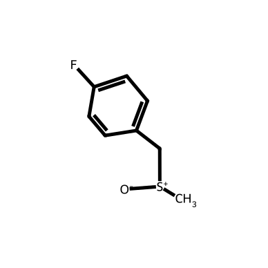 C[S+]([O-])Cc1ccc(F)cc1